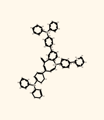 C=C1/C=C(C2=CC=C(N(C3=CCCC=C3)c3ccccc3)CC2)\C=C/N(c2ccc(-c3ccccc3)cc2)c2ccc(-c3ccc(N(c4ccccc4)c4ccccc4)cc3)cc21